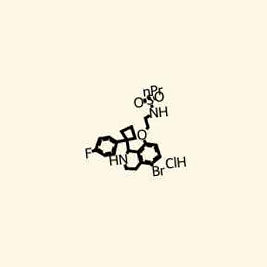 CCCS(=O)(=O)NCCOc1ccc(Br)c2c1C(C1(c3ccc(F)cc3)CCC1)NCC2.Cl